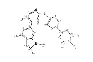 CCN1[C@H](C)CN(c2ccc(Nc3ncc(F)c(-c4cc(F)c5nc(C)n(C(C)C)c5c4)n3)nc2)C[C@@H]1C